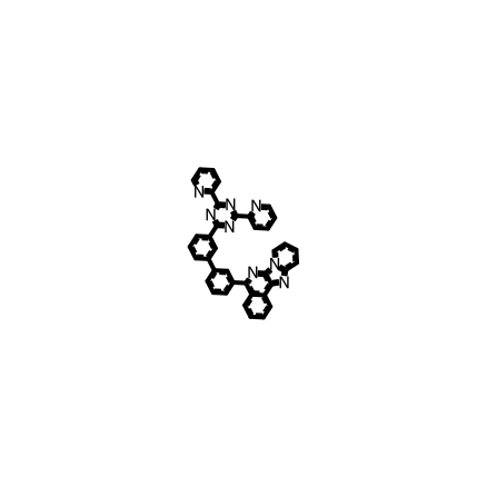 c1ccc(-c2nc(-c3cccc(-c4cccc(-c5nc6c(nc7ccccn76)c6ccccc56)c4)c3)nc(-c3ccccn3)n2)nc1